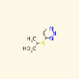 CC(Sc1ccnnn1)C(=O)O